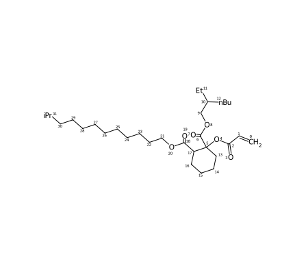 C=CC(=O)OC1(C(=O)OCC(CC)CCCC)CCCCC1C(=O)OCCCCCCCCCCC(C)C